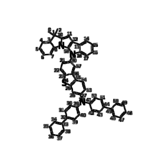 CC1(C)c2ccccc2-n2c1cc1c3ccccc3n(-c3ccc4sc5cc(N(c6ccc(-c7ccccc7)cc6)c6ccc(-c7ccccc7)cc6)ccc5c4c3)c12